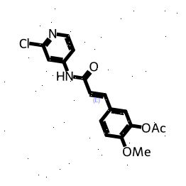 COc1ccc(/C=C/C(=O)Nc2ccnc(Cl)c2)cc1OC(C)=O